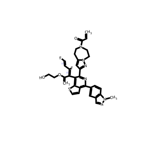 C=CC(=O)N1CCc2cc(-c3nc(-c4ccc5c(cnn5C)c4)c4ccsc4c3/C(C(=C)OCCO)=C(F)/C=C/F)nn2CC1